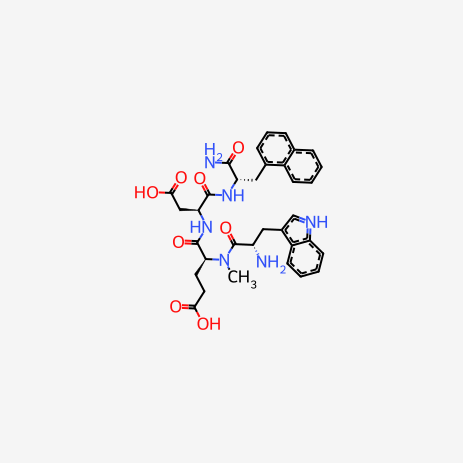 CN(C(=O)[C@@H](N)Cc1c[nH]c2ccccc12)[C@@H](CCC(=O)O)C(=O)N[C@@H](CC(=O)O)C(=O)N[C@@H](Cc1cccc2ccccc12)C(N)=O